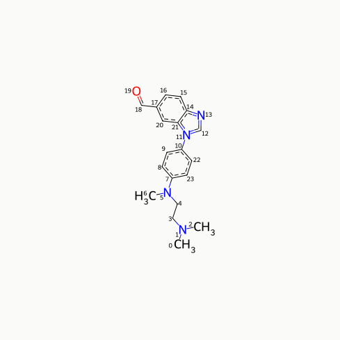 CN(C)CCN(C)c1ccc(-n2cnc3ccc(C=O)cc32)cc1